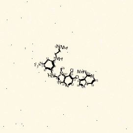 CNCCNc1cc(Nc2nc3ncc(Oc4cnn5ccnc(NC)c45)c(Cl)c3n2C)cc(C(F)(F)F)c1